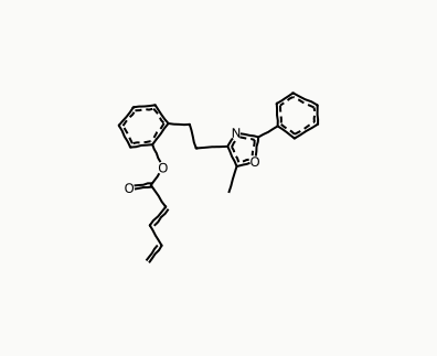 C=CC=CC(=O)Oc1ccccc1CCc1nc(-c2ccccc2)oc1C